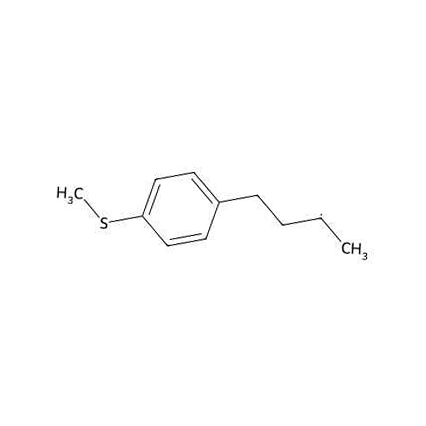 C[CH]CCc1ccc(SC)cc1